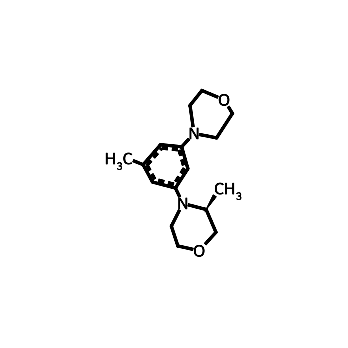 Cc1cc(N2CCOCC2)cc(N2CCOC[C@@H]2C)c1